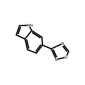 c1cc2ccc(-c3ncon3)cc2[nH]1